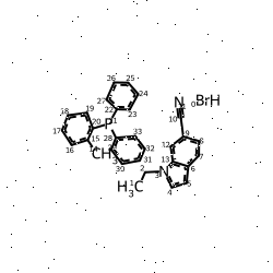 Br.CCn1ccc2ccc(C#N)cc21.Cc1ccccc1P(c1ccccc1)c1ccccc1